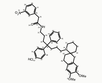 COc1cc2c(cc1OC)CC1(CCCCN1CCCC(CCCNC(=O)Cc1cccc([N+](=O)[O-])c1)(c1ccccc1)c1ccccc1)CC2.Cl